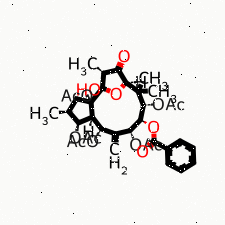 C=C1[C@@H](OC(C)=O)[C@@H](OC(=O)c2ccccc2)[C@@H](OC(C)=O)C(C)(C)[C@H]2O[C@](O)([C@H](C)C2=O)[C@@]2(OC(C)=O)C[C@H](C)[C@H](OC(C)=O)[C@@H]2[C@H]1OC(C)=O